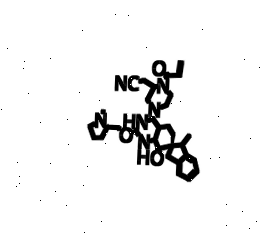 C=CC(=O)N1CCN(C2NC(OCC3CCCN3C)NC3C(=O)[C@@]4(CCC32)Cc2ccccc2C4C)CC1CC#N